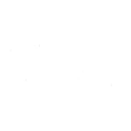 C[C@H](O)CCCC(=O)CCC/C=C/c1cc(O)cc(O)c1C(=O)O